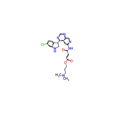 CN(C)CCCOC(=O)C=CC(=O)Nc1cc2c(C3CNc4cc(Cl)ccc43)ncnc2cn1